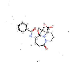 C[C@H]1CC(=O)N2CCC[C@@](C(=O)O)(C(C)(C)C)N2C(=O)[C@H]1NC(=O)c1ccccc1